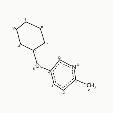 Cc1ccc(OC2CCCCC2)cn1